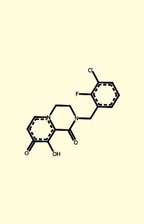 O=C1c2c(O)c(=O)ccn2CCN1Cc1cccc(Cl)c1F